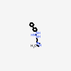 Cc1cncn1CCCNC(=N)Nc1ccc(-c2ccccc2)cc1